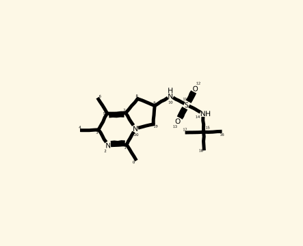 CC1=NC(C)C(C)=C2CC(NS(=O)(=O)NC(C)(C)C)CN12